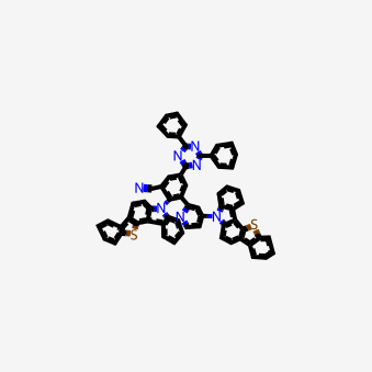 N#Cc1cc(-c2nc(-c3ccccc3)nc(-c3ccccc3)n2)cc(-c2cc(-n3c4ccccc4c4c5sc6ccccc6c5ccc43)ccn2)c1-n1c2ccccc2c2c3sc4ccccc4c3ccc21